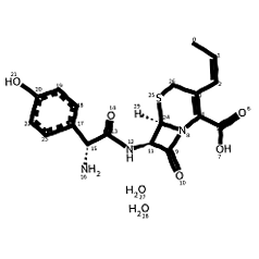 C/C=C\C1=C(C(=O)O)N2C(=O)[C@@H](NC(=O)[C@H](N)c3ccc(O)cc3)[C@H]2SC1.O.O